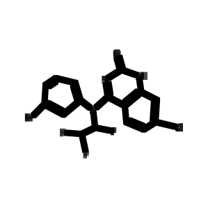 O=c1nc(N(c2cccc(Br)c2)C(F)C(F)F)c2ccc(Cl)cc2[nH]1